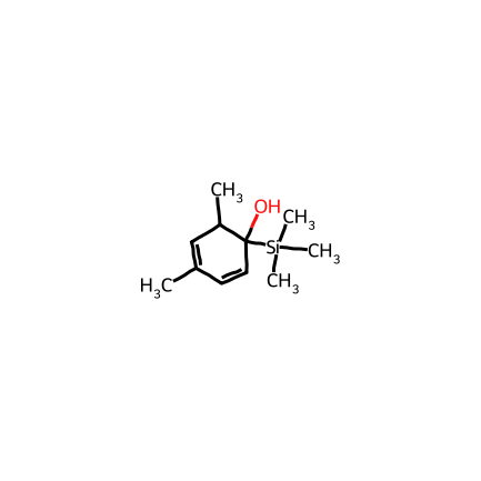 CC1=CC(C)C(O)([Si](C)(C)C)C=C1